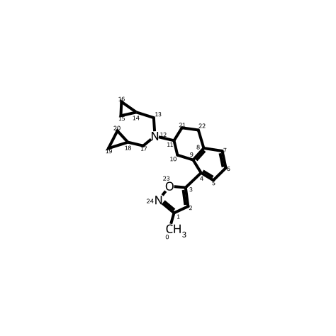 Cc1cc(-c2cccc3c2CC(N(CC2CC2)CC2CC2)CC3)on1